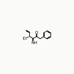 [CH]=C[C@H](CC)C(=N)C(=O)Cc1ccccc1